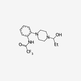 CCC(O)N1CCN(c2ccccc2NC(=O)C(F)(F)F)CC1